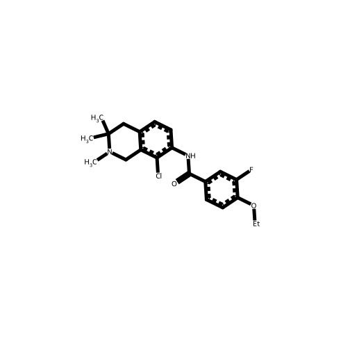 CCOc1ccc(C(=O)Nc2ccc3c(c2Cl)CN(C)C(C)(C)C3)cc1F